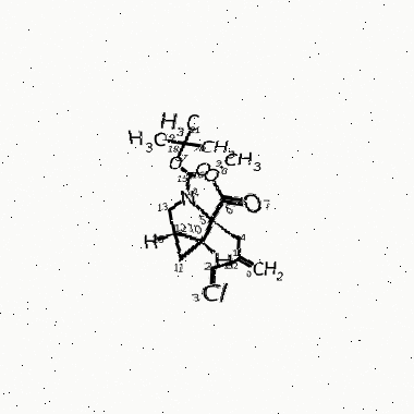 C=C(CCl)C[C@@]1(C(=O)OC)[C@@H]2C[C@@H]2CN1C(=O)OC(C)(C)C